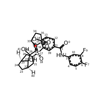 O=C(Nc1ccc(F)c(F)c1)c1ccc(Cl)c(S(=O)(=O)[C@H]2C[C@H]3CC[C@@H](C2)[C@@]3(O)C(O)CN2CCCS2(=O)=O)c1